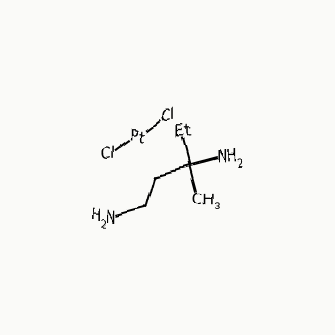 CCC(C)(N)CCN.[Cl][Pt][Cl]